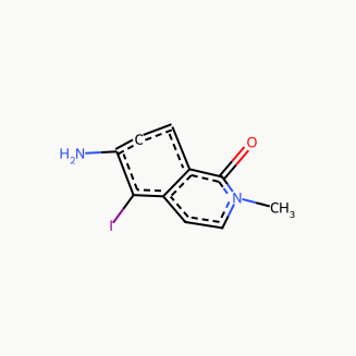 Cn1ccc2c(I)c(N)ccc2c1=O